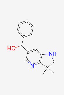 CC1(C)CNc2cc(C(O)c3ccccc3)cnc21